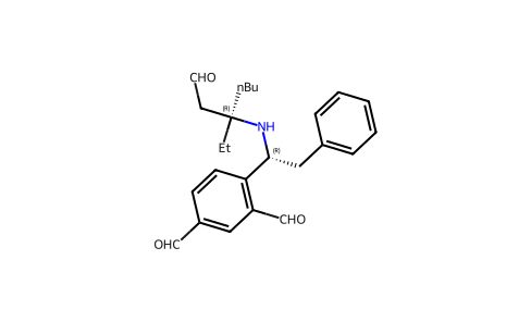 CCCC[C@](CC)(CC=O)N[C@H](Cc1ccccc1)c1ccc(C=O)cc1C=O